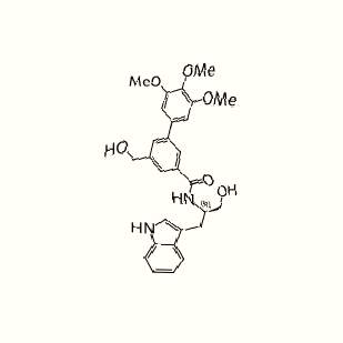 COc1cc(-c2cc(CO)cc(C(=O)N[C@@H](CO)Cc3c[nH]c4ccccc34)c2)cc(OC)c1OC